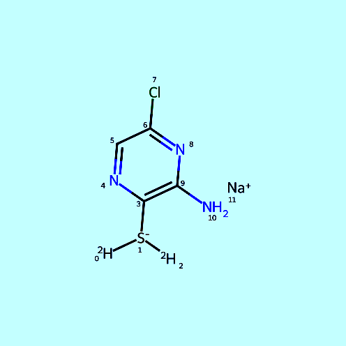 [2H][S-]([2H])c1ncc(Cl)nc1N.[Na+]